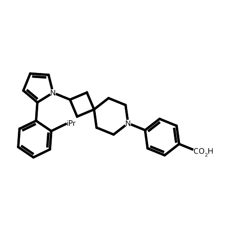 CC(C)c1ccccc1-c1cccn1C1CC2(CCN(c3ccc(C(=O)O)cc3)CC2)C1